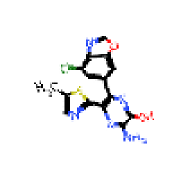 Cc1cnc(-c2nc(N)c(O)nc2-c2cc(Cl)c3ncoc3c2)s1